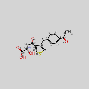 CC(=O)c1ccc(Cc2cscc2C(=O)/C=C(\O)C(=O)O)cc1